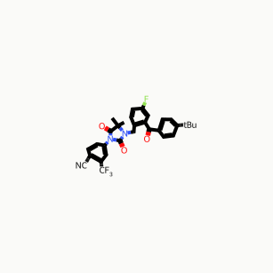 CC(C)(C)c1ccc(C(=O)c2cc(F)ccc2CN2C(=O)N(c3ccc(C#N)c(C(F)(F)F)c3)C(=O)C2(C)C)cc1